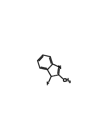 CC1=Nc2ccccc2C1F